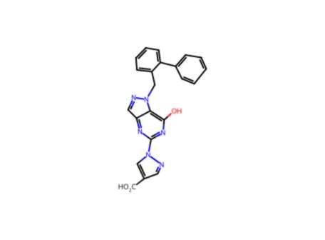 O=C(O)c1cnn(-c2nc(O)c3c(cnn3Cc3ccccc3-c3ccccc3)n2)c1